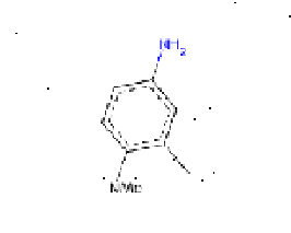 CNc1ccc(N)cc1C